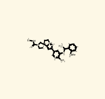 CCNC(=O)N1CC[C@@]2(CCn3nc(-c4cnc(N)c(OC(C)c5ccccc5OC)c4)cc32)C1